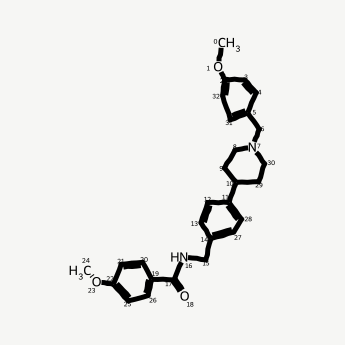 COc1ccc(CN2CCC(c3ccc(CNC(=O)c4ccc(OC)cc4)cc3)CC2)cc1